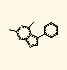 Cc1nc(C)c2c(-c3ccccc3)csc2n1